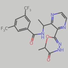 CC1OC(c2nccnc2C(C)NC(=O)c2cc(C(F)(F)F)cc(C(F)(F)F)c2)=NNC1=O